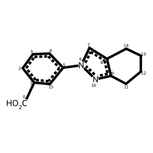 O=C(O)c1cccc(-n2cc3c(n2)CCCC3)c1